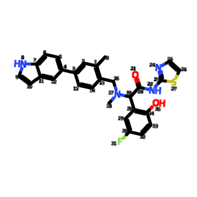 Cc1cc(-c2ccc3[nH]ccc3c2)ccc1CN(C)C(C(=O)Nc1nccs1)c1cc(F)ccc1O